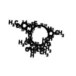 COc1ccc2nc3c(nc2c1)O[C@H]1CN(C(=O)[C@H](C(C)(C)C)NC(=O)O[C@@H]2C[C@H](C)C[C@H]2CCCCC3(F)F)[C@H](C(=O)O)[C@@H]1C